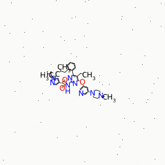 CCc1c(Oc2cncc(N3CCN(C)CC3)c2)nc(NS(=O)(=O)c2cnn(C)c2)nc1-c1ccccc1CC(C)C